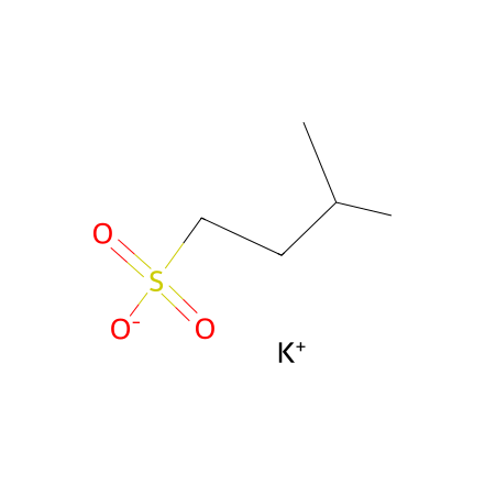 CC(C)CCS(=O)(=O)[O-].[K+]